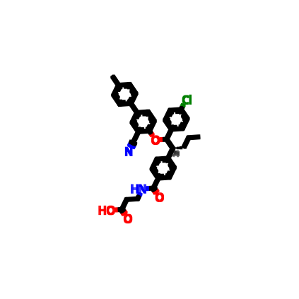 CCC[C@H](c1ccc(C(=O)NCCC(=O)O)cc1)C(Oc1ccc(-c2ccc(C)cc2)cc1C#N)c1ccc(Cl)cc1